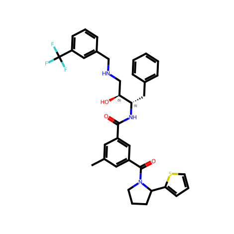 Cc1cc(C(=O)N[C@@H](Cc2ccccc2)[C@@H](O)CNCc2cccc(C(F)(F)F)c2)cc(C(=O)N2CCCC2c2cccs2)c1